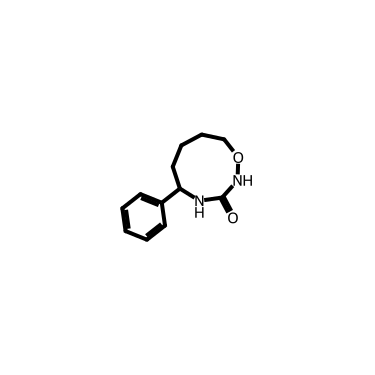 O=C1NOCCCCC(c2ccccc2)N1